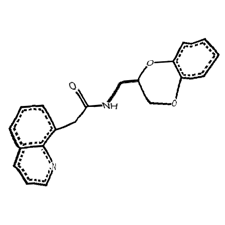 O=C(Cc1cccc2cccnc12)NCC1COc2ccccc2O1